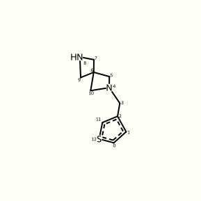 c1cc(CN2CC3(CNC3)C2)cs1